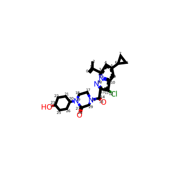 C=C(C)c1cc(C2CC2)cc2c(Cl)c(C(=O)N3CCN(C4CCC(O)CC4)C(=O)C3)nn12